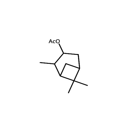 CC(=O)OC1CC2CC(C1C)C2(C)C